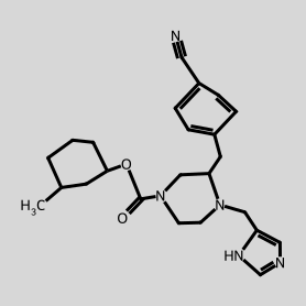 CC1CCCC(OC(=O)N2CCN(Cc3cnc[nH]3)C(Cc3ccc(C#N)cc3)C2)C1